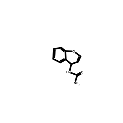 NC(=O)NC1C=COc2ccccc21